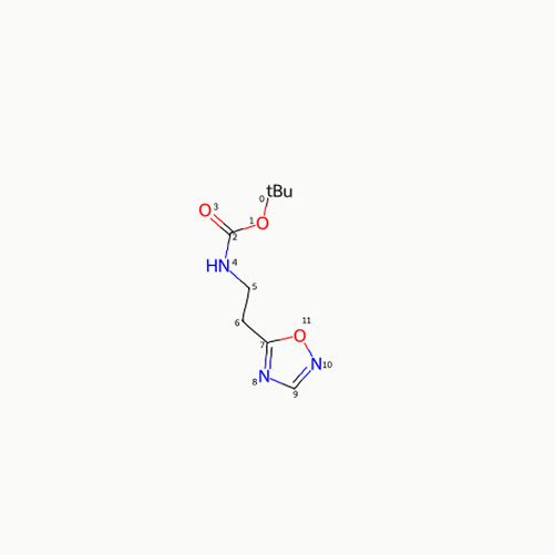 CC(C)(C)OC(=O)NCCc1ncno1